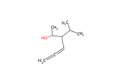 C=C=CC(C(C)C)C(C)O